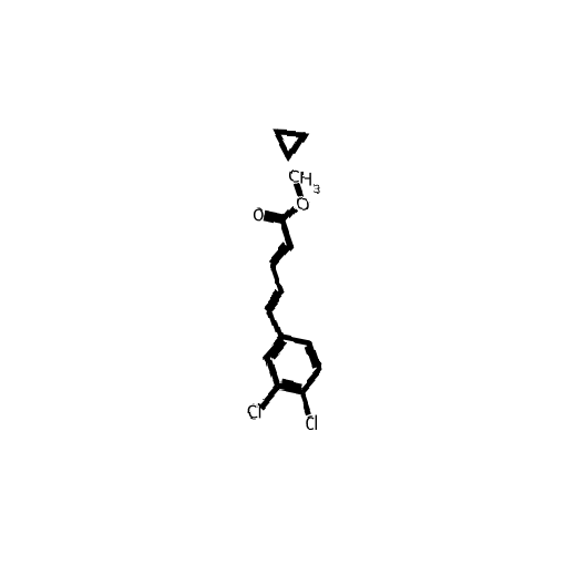 C1CC1.COC(=O)C=CC=Cc1ccc(Cl)c(Cl)c1